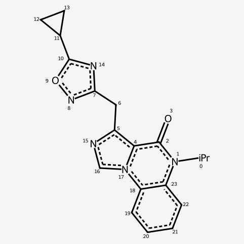 CC(C)n1c(=O)c2c(Cc3noc(C4CC4)n3)ncn2c2ccccc21